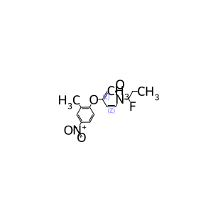 C/C=C(\C=C/N(C=O)C(F)CC)Oc1ccc([N+](=O)[O-])cc1C